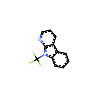 FC(F)(F)n1c2ccccc2c2cccnc21